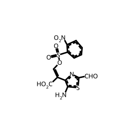 Nc1sc(C=O)nc1C(=COS(=O)(=O)c1ccccc1[N+](=O)[O-])C(=O)O